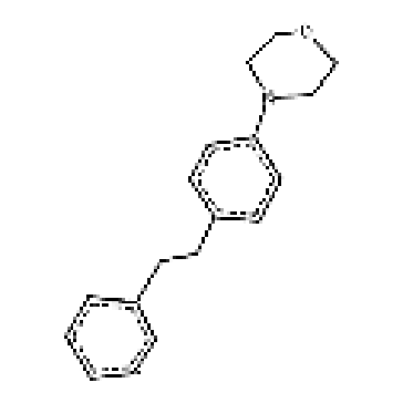 [c]1cccc(CCc2ccc(N3CCOCC3)cc2)c1